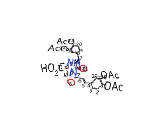 CC(=O)Oc1ccc(C=CC(=O)N(CC(N)C(=O)O)C(=O)C=Cc2ccc(OC(C)=O)c(OC(C)=O)c2)cc1OC(C)=O